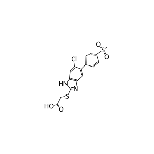 CS(=O)(=O)c1ccc(-c2cc3nc(SCC(=O)O)[nH]c3cc2Cl)cc1